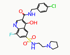 O=C(NCc1ccc(Cl)cc1)c1cnc2c(F)cc(S(=O)(=O)NCCN3CCCC3)cc2c1O